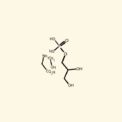 CO.NCC(=O)O.O=P(O)(O)OCC(O)CO